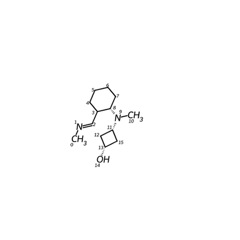 C/N=C/C1CCCC[C@@H]1N(C)[C@H]1C[C@@H](O)C1